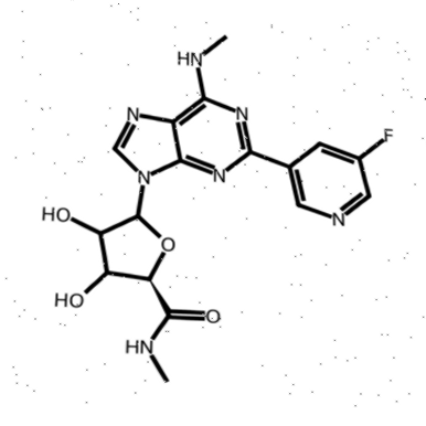 CNC(=O)[C@@H]1OC(n2cnc3c(NC)nc(-c4cncc(F)c4)nc32)C(O)C1O